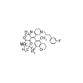 Cc1nc2c(c(-c3cc(F)c4c(c3C)CCCO4)c1[C@H](OC(C)(C)C)C(=O)O)CN(CCCc1cccc(F)c1)CC2